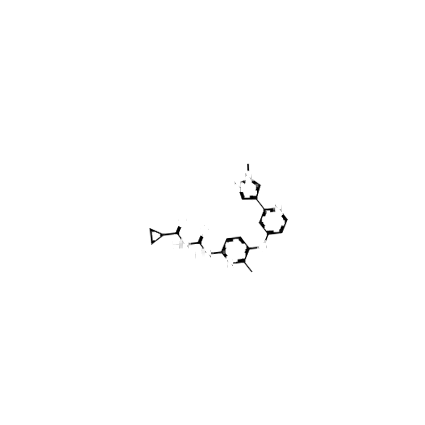 Cc1nc(NC(=O)NC(=O)C2CC2)ccc1Oc1ccnc(-c2cnn(C)c2)c1